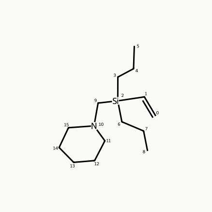 C=C[Si](CCC)(CCC)CN1CCCCC1